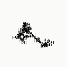 O=C(O)CC[C@H](NC(=O)N[C@@H](CCCCNC(=O)CCCCCCC(=O)NCCCC[C@@H](NC(=O)[C@@H](Cc1ccccc1)NC(=O)[C@@H](Cc1ccc(O)c(S)c1)NC(=O)CC[C@@H](C(=O)O)N1CCN(CC(=O)O)CCN(CC(=O)O)CCN(CC(=O)O)CC1)C(=O)O)C(=O)O)C(=O)O